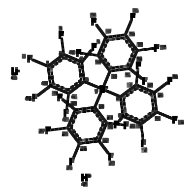 Fc1c(F)c(F)c([B-](c2c(F)c(F)c(F)c(F)c2F)(c2c(F)c(F)c(F)c(F)c2F)c2c(F)c(F)c(F)c(F)c2F)c(F)c1F.[H+].[Li]